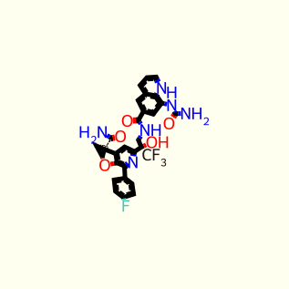 NC(=O)Nc1cc(C(=O)NCC(O)(c2cc3c(c(-c4ccc(F)cc4)n2)OC2C[C@@]32C(N)=O)C(F)(F)F)cc2cccnc12